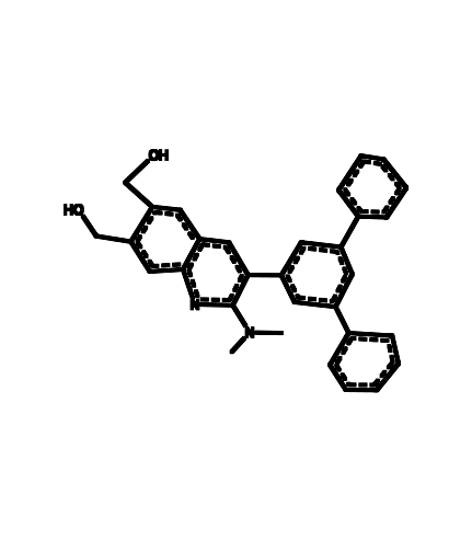 CN(C)c1nc2cc(CO)c(CO)cc2cc1-c1cc(-c2ccccc2)cc(-c2ccccc2)c1